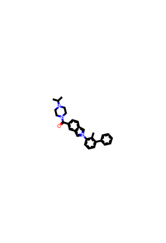 Cc1c(-c2ccccc2)cccc1-n1cc2ccc(C(=O)N3CCN(C(C)C)CC3)cc2c1